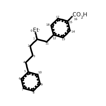 C[CH]C(CCCc1ccccc1)Cc1ccc(C(=O)O)cc1